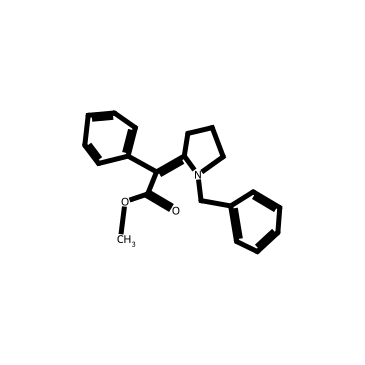 COC(=O)/C(=C1/CCCN1Cc1ccccc1)c1ccccc1